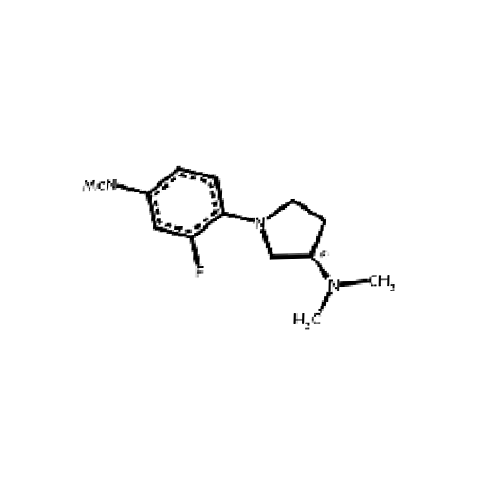 CNc1ccc(N2CC[C@@H](N(C)C)C2)c(F)c1